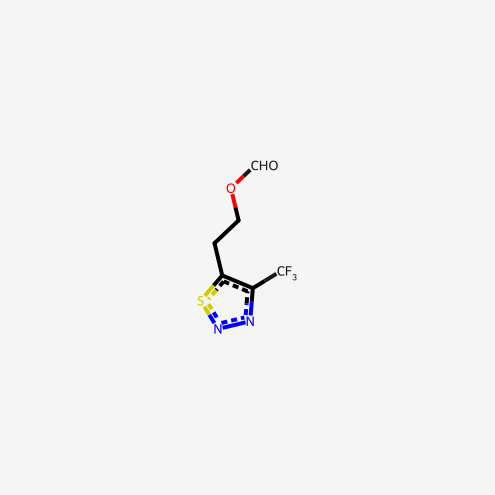 O=COCCc1snnc1C(F)(F)F